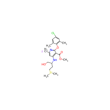 COC(=O)c1c(NC(CO)CC[S+](C)C)cc(C)nc1Oc1c(C)cc(Cl)cc1C.[I-]